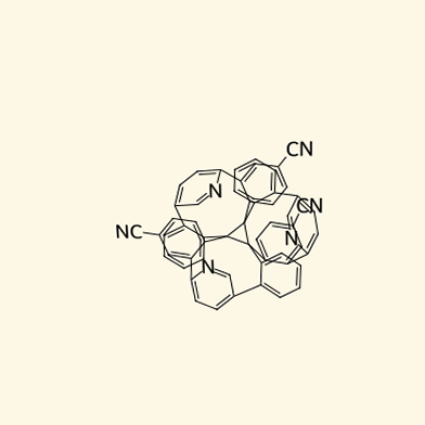 N#Cc1ccc2c(c1)-c1ccc(cn1)-c1ccccc1C13c4ccc(C#N)cc4-c4ccc(cn4)-c4ccccc4C14c1ccc(C#N)cc1-c1ccc(cn1)-c1ccccc1C234